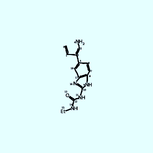 C=C/C(=C\N)c1ccc2[nH]c(NC(=O)NCC)nc2c1